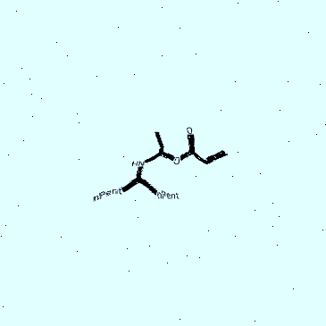 C=CC(=O)OC(C)NC(CCCCC)CCCCC